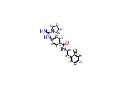 N=C(Nc1ccc(C(=O)NCCc2ccccc2Cl)cc1)N1CCCC1